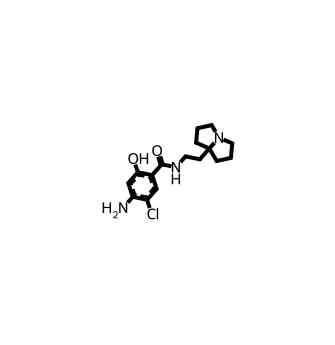 Nc1cc(O)c(C(=O)NCCC23CCCN2CCC3)cc1Cl